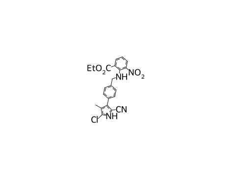 CCOC(=O)c1cccc([N+](=O)[O-])c1NCc1ccc(-c2c(C#N)[nH]c(Cl)c2C)cc1